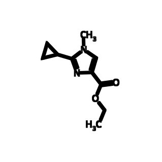 CCOC(=O)c1cn(C)c(C2CC2)n1